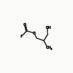 CC(CO)COC(=O)F